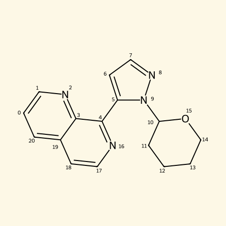 c1cnc2c(-c3ccnn3C3CCCCO3)nccc2c1